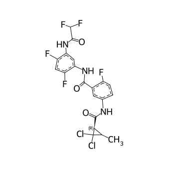 CC1[C@H](C(=O)Nc2ccc(F)c(C(=O)Nc3cc(NC(=O)C(F)F)c(F)cc3F)c2)C1(Cl)Cl